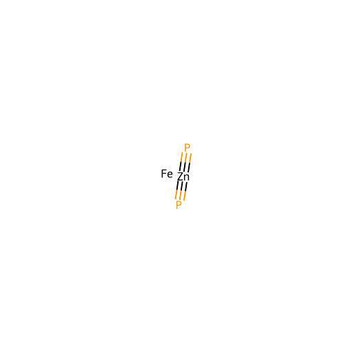 [Fe].[P]#[Zn]#[P]